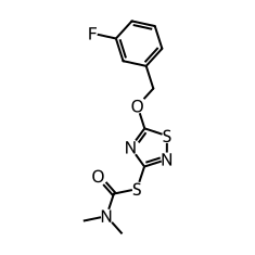 CN(C)C(=O)Sc1nsc(OCc2cccc(F)c2)n1